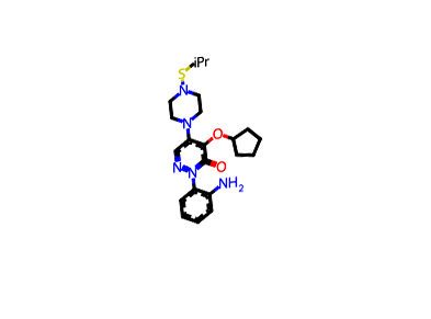 CC(C)SN1CCN(c2cnn(-c3ccccc3N)c(=O)c2OC2CCCC2)CC1